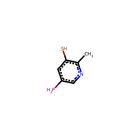 Cc1ncc(P)cc1S